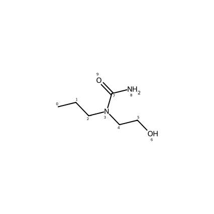 CC[CH]N(CCO)C(N)=O